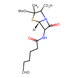 COC1(C)S[C@H]2C(NC(=O)CCCCC=O)C(=O)N2C1C(=O)O